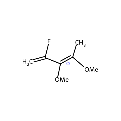 C=C(F)/C(OC)=C(\C)OC